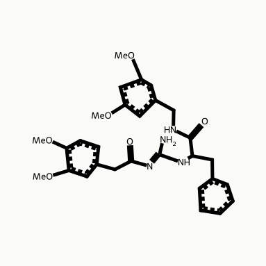 COc1cc(CNC(=O)C(Cc2ccccc2)NC(N)=NC(=O)Cc2ccc(OC)c(OC)c2)cc(OC)c1